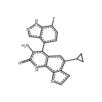 Nc1c(-c2ccc(F)c3[nH]ncc23)c2cc(C3CC3)c3ccsc3c2[nH]c1=O